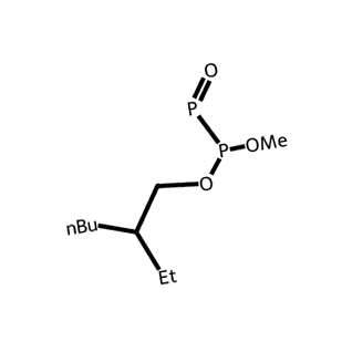 CCCCC(CC)COP(OC)P=O